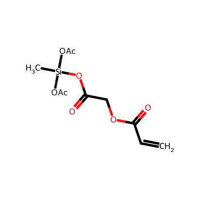 C=CC(=O)OCC(=O)O[Si](C)(OC(C)=O)OC(C)=O